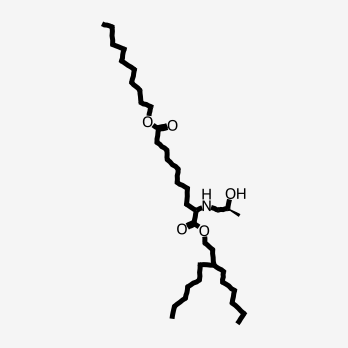 CCCCCCCCCCOC(=O)CCCCCCCC(NC[C@H](C)O)C(=O)OCCC(CCCCCC)CCCCCC